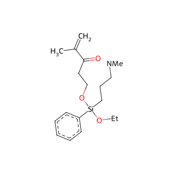 C=C(C)C(=O)CCO[Si](CCCNC)(OCC)c1ccccc1